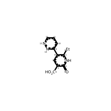 CCc1[nH]c(=O)c(C(=O)O)cc1-c1cccnn1